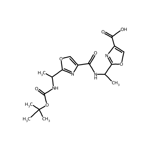 CC(NC(=O)OC(C)(C)C)c1nc(C(=O)NC(C)c2nc(C(=O)O)co2)co1